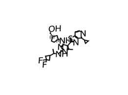 Cc1nc(NC(C)C2CC(F)(F)C2)nc(N[C@H]2CC[C@@H](CO)C2)c1-c1nc2c(C3CC3)nccc2s1